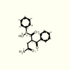 NC(=O)CC(C(=O)c1ccccc1)C(=O)N(O)c1ccccc1